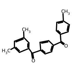 Cc1ccc(C(=O)c2ccc(C(=O)c3cc(C)cc(C)c3)cc2)cc1